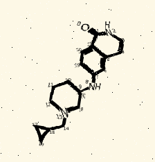 O=c1[nH]ccc2cc(N[C@@H]3CCCN(CC4CC4)C3)ccc12